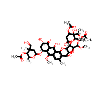 COc1c2c(c(O)c3c4c(c(C)cc13)C1OC3(C(OC)OC)OC1[C@@](OC1CC(OC(C)=O)C(O)([C@@H](C)OC(C)=O)C(C)O1)(O4)[C@@]31CO1)C(=O)[C@@H](O)C[C@@H]2OC1CC(C)(CO)C(OC(C)=O)C(C)O1